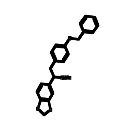 CC(=O)NC(Cc1ccc(OCc2ccccc2)cc1)c1ccc2c(c1)OCO2